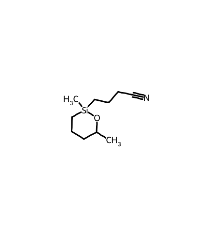 CC1CCC[Si](C)(CCCC#N)O1